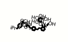 CC(C)CN1CCN(C(=O)C(C)(C)NC(=O)CCc2ccc(CCc3cccc4c3c(O[C@@H]3O[C@H](CO)[C@@H](O)[C@H](O)[C@H]3O)nn4CCO)cc2)CC1